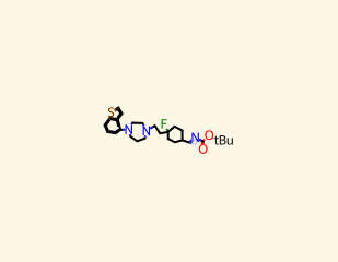 CC(C)(C)OC(=O)/N=C/C1CCC(F)(CCN2CCCN(c3cccc4sccc34)CC2)CC1